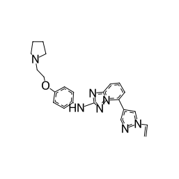 C=Cn1cc(-c2cccc3nc(Nc4ccc(OCCN5CCCC5)cc4)nn23)cn1